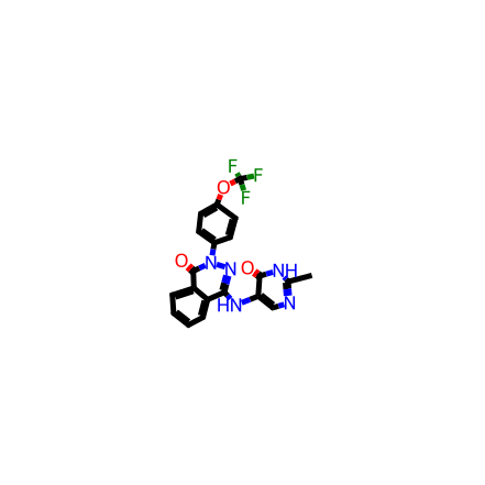 Cc1ncc(Nc2nn(-c3ccc(OC(F)(F)F)cc3)c(=O)c3ccccc23)c(=O)[nH]1